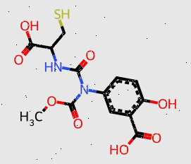 COC(=O)N(C(=O)NC(CS)C(=O)O)c1ccc(O)c(C(=O)O)c1